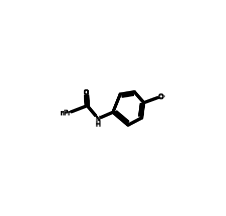 CCCC(=O)Nc1ccc([O])cc1